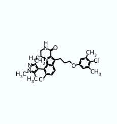 Cc1cc(OCCCc2c3n(c4c(-c5c(C)nn(C)c5C)c(Cl)ccc24)[C@H](C)CNC3=O)cc(C)c1Cl